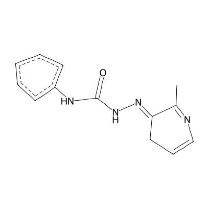 CC1=NC=CCC1=NNC(=O)Nc1ccccc1